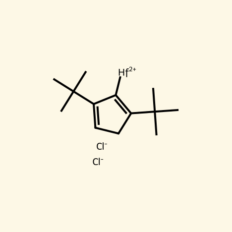 CC(C)(C)C1=CCC(C(C)(C)C)=[C]1[Hf+2].[Cl-].[Cl-]